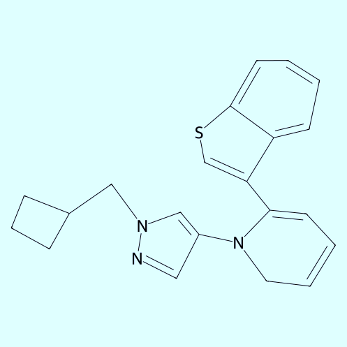 C1=CCN(c2cnn(CC3CCC3)c2)C(c2csc3ccccc23)=C1